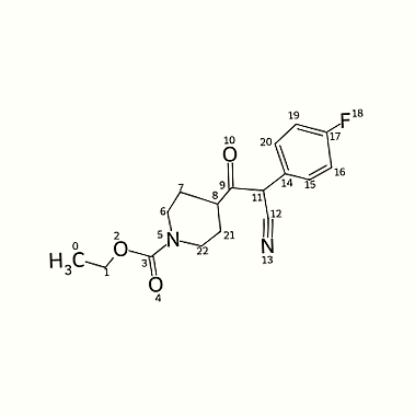 CCOC(=O)N1CCC(C(=O)C(C#N)c2ccc(F)cc2)CC1